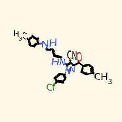 Cc1ccc(NCCCCNc2c(C#N)c(C(=O)c3ccc(C)cc3)nn2-c2ccc(Cl)cc2)cc1